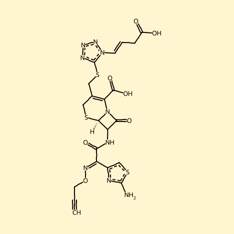 C#CCO/N=C(/C(=O)NC1C(=O)N2C(C(=O)O)=C(CSc3nnnn3/C=C/CC(=O)O)CS[C@H]12)c1csc(N)n1